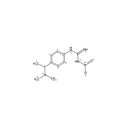 CC(c1ccc(NC(=N)N[N+](=O)[O-])cc1)N(C)C